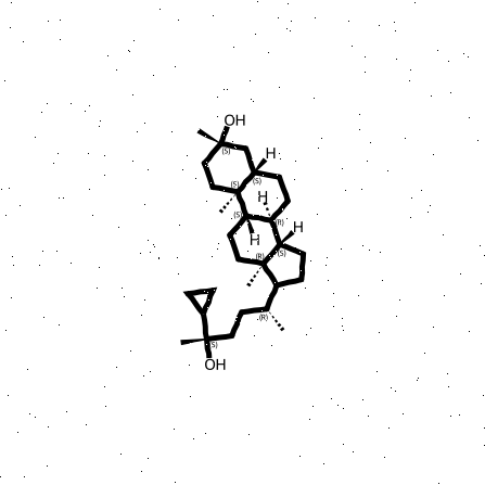 C[C@H](CC[C@](C)(O)C1CC1)C1CC[C@H]2[C@@H]3CC[C@H]4C[C@@](C)(O)CC[C@]4(C)[C@H]3CC[C@]12C